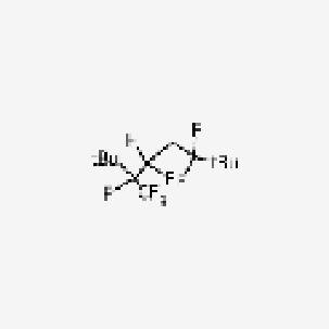 CC(C)(C)C(F)(F)CC(F)(F)C(F)(C(C)(C)C)C(F)(F)F